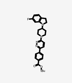 CC(C)(C)OC(=O)c1ccc(-c2ccc(N3CCC(N4CCc5ccc(F)cc54)CC3)nn2)cc1